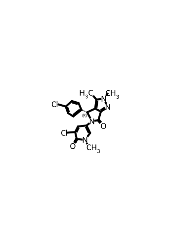 Cc1c2c(nn1C)C(=O)N(c1cc(Cl)c(=O)n(C)c1)[C@@H]2c1ccc(Cl)cc1